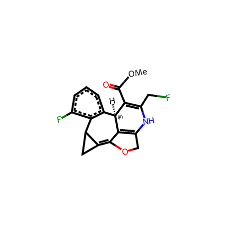 COC(=O)C1=C(CF)NC2=C3C(=C4CC4c4c(F)cccc4[C@@H]13)OC2